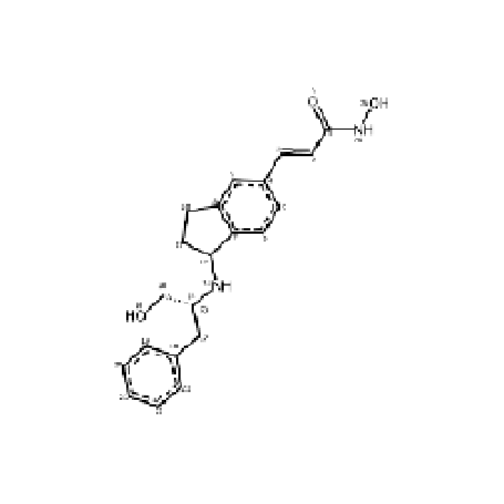 O=C(C=Cc1ccc2c(c1)CCC2N[C@@H](CO)Cc1ccccc1)NO